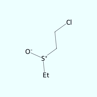 CC[S+]([O-])CCCl